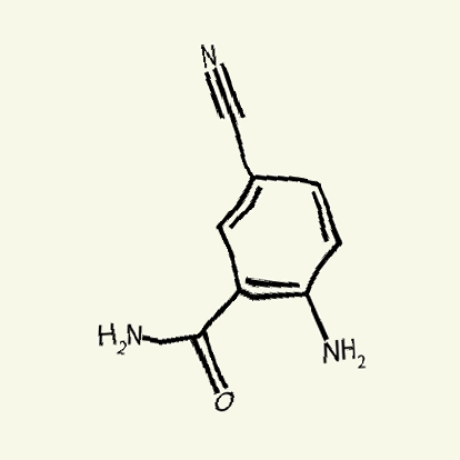 N#Cc1ccc(N)c(C(N)=O)c1